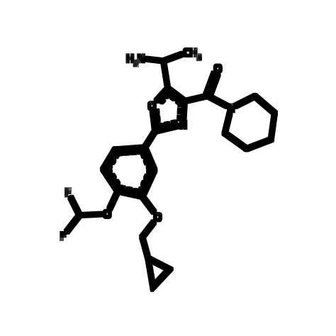 CC(N)c1oc(-c2ccc(OC(F)F)c(OCC3CC3)c2)nc1C(=O)N1CCCCC1